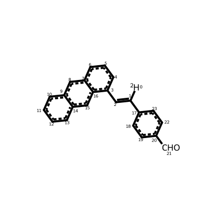 [2H]C(=Cc1cccc2cc3ccccc3cc12)c1ccc(C=O)cc1